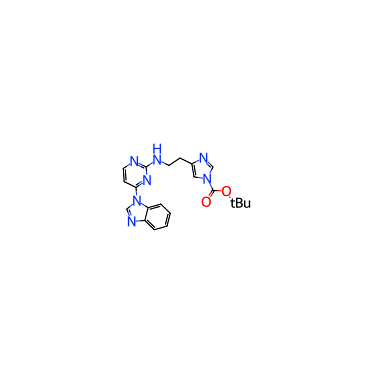 CC(C)(C)OC(=O)n1cnc(CCNc2nccc(-n3cnc4ccccc43)n2)c1